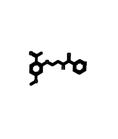 COc1ccc(C(C)=O)c(OCCNC(=O)c2cccnc2)c1